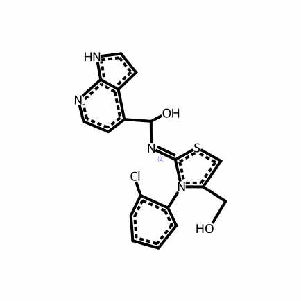 OCc1cs/c(=N\C(O)c2ccnc3[nH]ccc23)n1-c1ccccc1Cl